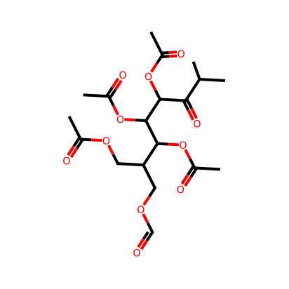 CC(=O)OCC(COC=O)C(OC(C)=O)C(OC(C)=O)C(OC(C)=O)C(=O)C(C)C